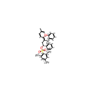 C=C(C)/C=C\C1=C(CCOS(=O)(=O)c2c(C(C)C)cc(C(C)C)cc2C(C)C)[SiH](c2ccccc2)c2ccccc2O1